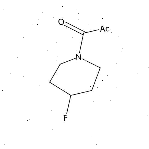 CC(=O)C(=O)N1CCC(F)CC1